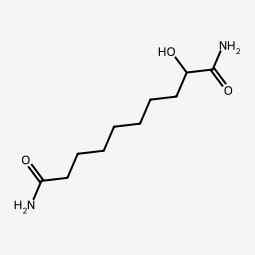 NC(=O)CCCCCCCC(O)C(N)=O